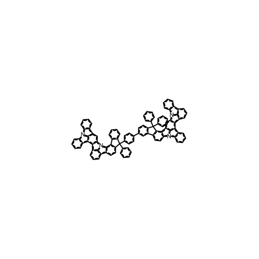 c1ccc(C2(c3ccc(-c4ccc5c(c4)-c4ccc6c(c4C5(c4ccccc4)c4ccccc4)c4cc5c(c7cccc8c9ccccc9n5c87)c5c7ccccc7n6c45)cc3)c3ccccc3-c3c2ccc2c4cccc5c6c7c8ccccc8n8c9ccccc9c(cc6n(c32)c45)c78)cc1